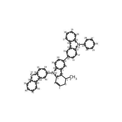 CC1CC=Cc2c1c1cc(-c3ccc4c(c3)c3ccccc3n4-c3ccccc3)ccc1n2-c1ccc2sc3ccccc3c2c1